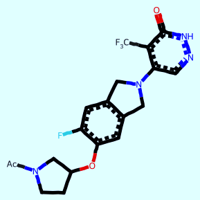 CC(=O)N1CCC(Oc2cc3c(cc2F)CN(c2cn[nH]c(=O)c2C(F)(F)F)C3)C1